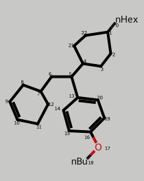 CCCCCCC1CCC(C(CC2CC=CCC2)c2ccc(OCCCC)cc2)CC1